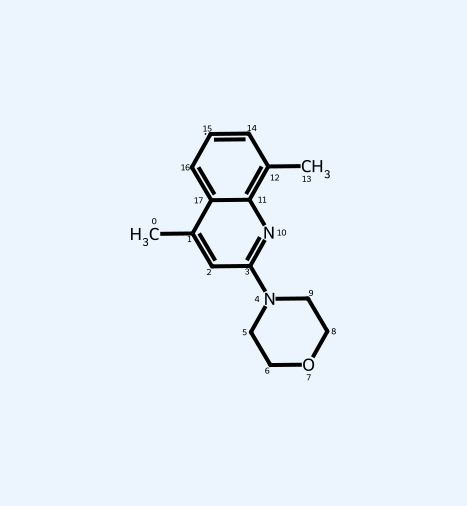 Cc1cc(N2CCOCC2)nc2c(C)c[c]cc12